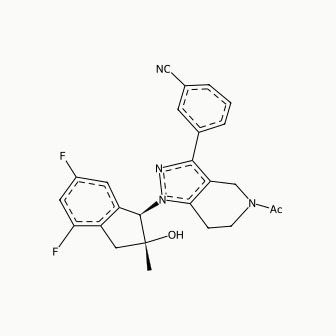 CC(=O)N1CCc2c(c(-c3cccc(C#N)c3)nn2[C@@H]2c3cc(F)cc(F)c3C[C@@]2(C)O)C1